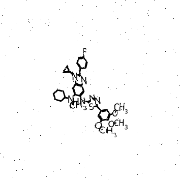 COc1cc(-c2nnc(Nc3cc4nc(-c5ccc(F)cc5)n(C5CC5)c4cc3N(C)C3CCCCC3)s2)cc(OC)c1OC